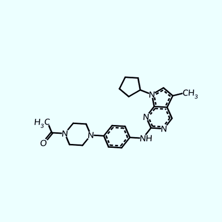 CC(=O)N1CCN(c2ccc(Nc3ncc4c(C)cn(C5CCCC5)c4n3)cc2)CC1